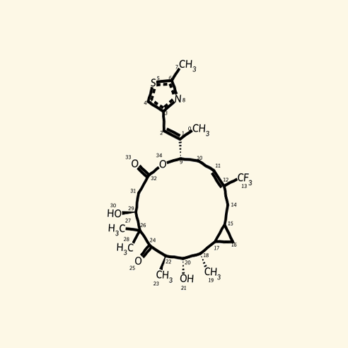 C/C(=C\c1csc(C)n1)[C@@H]1C/C=C(/C(F)(F)F)CC2CC2[C@H](C)[C@H](O)[C@@H](C)C(=O)C(C)(C)[C@@H](O)CC(=O)O1